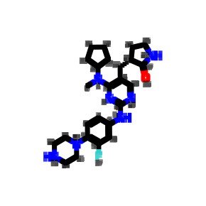 CN(c1nc(Nc2ccc(N3CCNCC3)c(F)c2)ncc1C[C@@H]1CCNC1=O)C1CCCC1